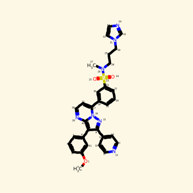 COc1cccc(-c2c(-c3ccncc3)nn3c(-c4cccc(S(=O)(=O)N(C)CCCn5ccnc5)c4)ccnc23)c1